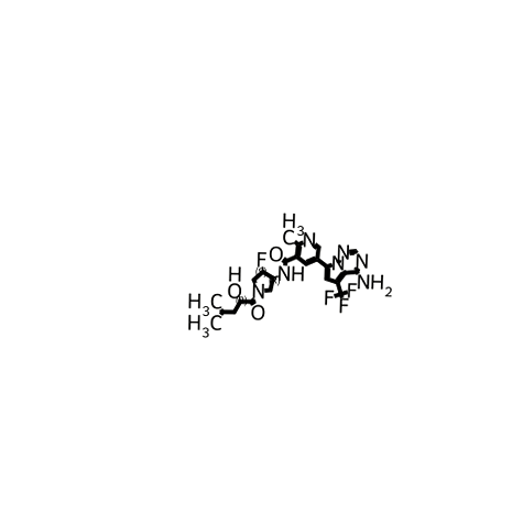 Cc1ncc(-c2cc(C(F)(F)F)c3c(N)ncnn23)cc1C(=O)N[C@@H]1CN(C(=O)[C@H](O)CC(C)C)C[C@@H]1F